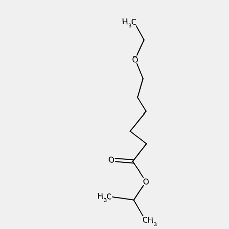 CCOCCCCCC(=O)OC(C)C